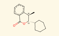 C[C@@H]1c2ccccc2C(=O)O[C@H]1C1CCCCC1